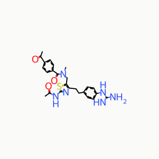 CC(=O)Nc1nc(CCc2ccc(NC(=N)N)cc2)c(CN(C)C(=O)c2ccc(C(C)=O)cc2)s1